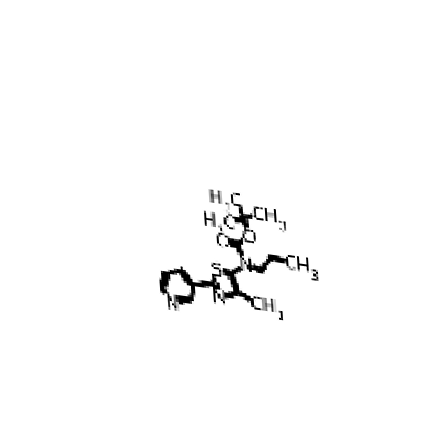 CCCN(C(=O)OC(C)(C)C)c1sc(-c2cccnc2)nc1C